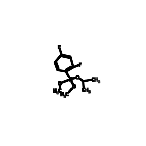 CO[Si](OC)(OC(C)C)c1ccc(F)cc1F